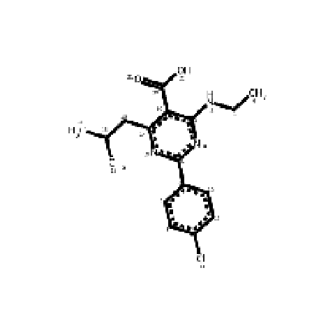 CCNc1nc(-c2ccc(Cl)cc2)nc(CC(C)C)c1C(=O)O